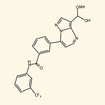 COC(O)c1cnn2c(-c3cccc(C(=O)Nc4cccc(C(F)(F)F)c4)c3)ccnc12